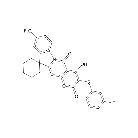 O=c1oc2cc3n(c(=O)c2c(O)c1Sc1cccc(F)c1)-c1ccc(C(F)(F)F)cc1C31CCCCC1